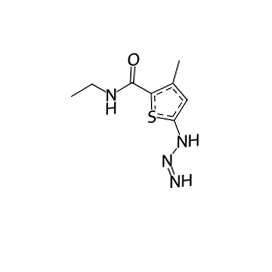 CCNC(=O)c1sc(NN=N)cc1C